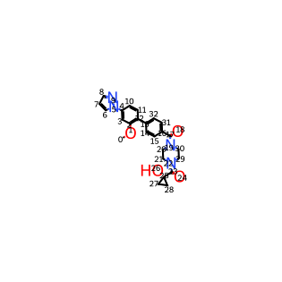 COc1cc(-n2cccn2)ccc1-c1ccc(C(=O)N2CCN(C(=O)C3(O)CC3)CC2)cc1